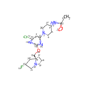 CC(=O)NC1CCN(c2cc(Cl)nc(OC[C@@]34CCCN3C[C@H](F)C4)n2)CC1